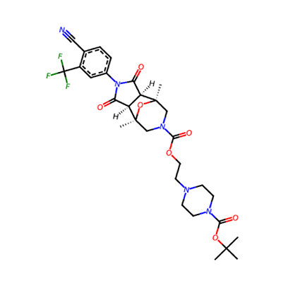 CC(C)(C)OC(=O)N1CCN(CCOC(=O)N2C[C@@]3(C)O[C@@](C)(C2)[C@H]2C(=O)N(c4ccc(C#N)c(C(F)(F)F)c4)C(=O)[C@H]23)CC1